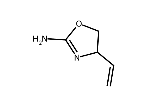 C=CC1COC(N)=N1